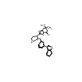 CC1(C)CC(=O)c2sc(N3CCOC[C@@H]3Cc3cccc(-c4csc5ccccc45)c3)nc2C1